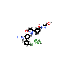 COCCCNC(=O)c1cccc(-c2ccc(=O)n([C@H]3CC[C@](CN)(c4cccc(Cl)c4)CC3)n2)c1.Cl.Cl.Cl